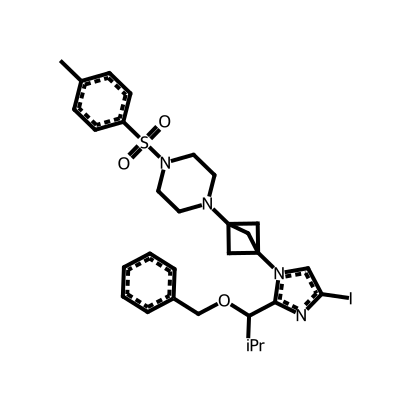 Cc1ccc(S(=O)(=O)N2CCN(C34CC(n5cc(I)nc5C(OCc5ccccc5)C(C)C)(C3)C4)CC2)cc1